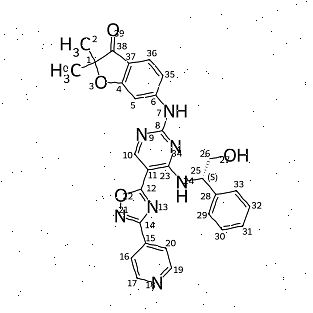 CC1(C)Oc2cc(Nc3ncc(-c4nc(-c5ccncc5)no4)c(N[C@H](CO)c4ccccc4)n3)ccc2C1=O